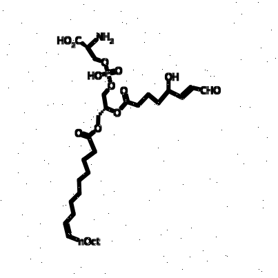 CCCCCCCC/C=C\CCCCCCCC(=O)OC[C@H](COP(=O)(O)OC[C@H](N)C(=O)O)OC(=O)CCCC(O)/C=C/C=O